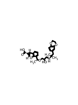 C[C@@H](OCC(O)CNC(C)(C)Cc1ccc2c(c1)OCCO2)c1cccc2c1O[C@@H]1[C@@H](C(=O)O)[C@H]21